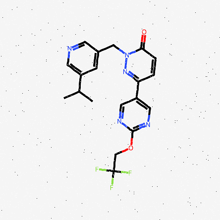 CC(C)c1cncc(Cn2nc(-c3cnc(OCC(F)(F)F)nc3)ccc2=O)c1